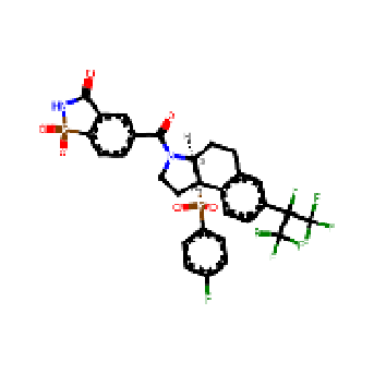 O=C1NS(=O)(=O)c2ccc(C(=O)N3CC[C@]4(S(=O)(=O)c5ccc(F)cc5)c5ccc(C(F)(C(F)(F)F)C(F)(F)F)cc5CC[C@H]34)cc21